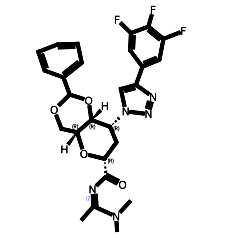 C/C(=N/C(=O)[C@H]1C[C@@H](n2cc(-c3cc(F)c(F)c(F)c3)nn2)[C@H]2OC(c3ccccc3)OC[C@H]2O1)N(C)C